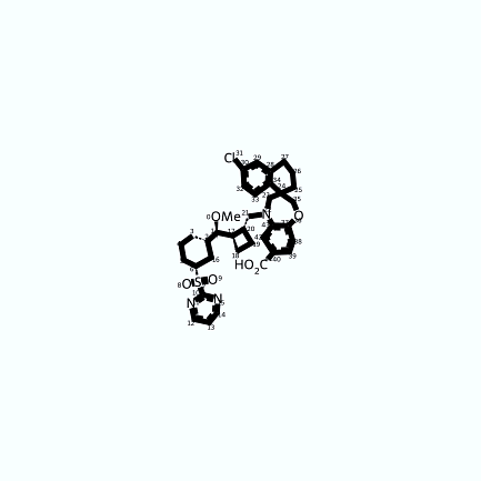 CO[C@H]([C@H]1CCC[C@@H](S(=O)(=O)c2ncccn2)C1)[C@@H]1CC[C@H]1CN1CC2(CCCc3cc(Cl)ccc32)COc2ccc(C(=O)O)cc21